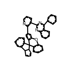 C1=CC2c3ccccc3C3(c4ccccc4Oc4cc(-c5ncccc5-c5nc(-c6ccccc6)c6ccccc6n5)ccc43)C2C=C1